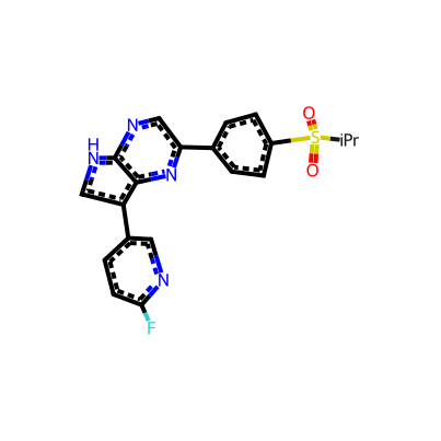 CC(C)S(=O)(=O)c1ccc(-c2cnc3[nH]cc(-c4ccc(F)nc4)c3n2)cc1